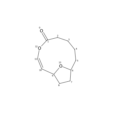 O=C1CCCCC2CCC(/C=C\O1)O2